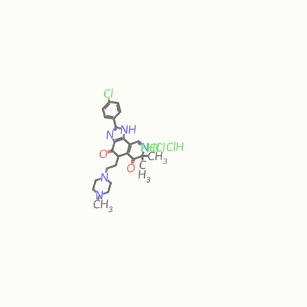 CN1CCN(CCC2C(=O)c3nc(-c4ccc(Cl)cc4)[nH]c3C3=C2C(=O)C(C)(C)N=C3)CC1.Cl.Cl.Cl